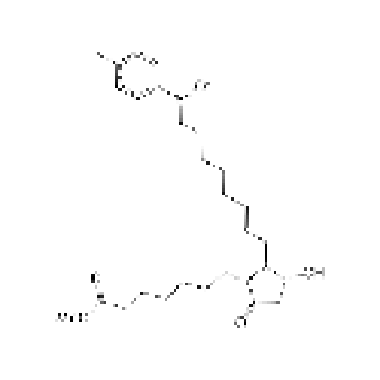 COC(=O)CCCCCC[C@H]1C(=O)C[C@@H](O)[C@@H]1C/C=C/CCCCC[S+]([O-])c1ccc(C)cc1